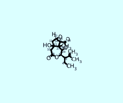 C=C(C)C(CC)C1OC(=O)CC2(O)C[C@H]3O[C@]34C(=O)OC1C24C